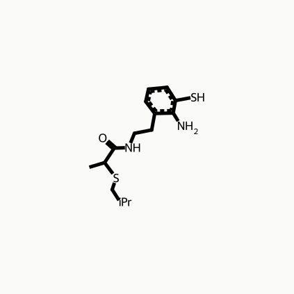 CC(C)CSC(C)C(=O)NCCc1cccc(S)c1N